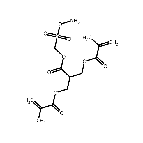 C=C(C)C(=O)OCC(COC(=O)C(=C)C)C(=O)OCS(=O)(=O)ON